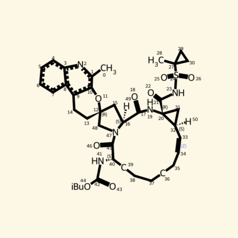 Cc1nc2ccccc2c2c1O[C@]1(CC2)C[C@H]2C(=O)N[C@]3(C(=O)NS(=O)(=O)C4(C)CC4)C[C@H]3/C=C\CCCCC[C@H](NC(=O)OCC(C)C)C(=O)N2C1